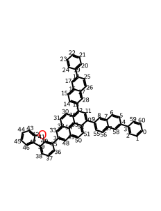 c1ccc(-c2ccc3cc(-c4cc(-c5ccc6cc(-c7ccccc7)ccc6c5)c5ccc6cc(-c7cccc8c7oc7ccccc78)cc7ccc4c5c76)ccc3c2)cc1